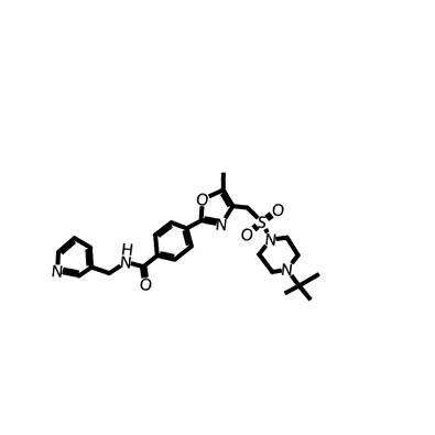 Cc1oc(-c2ccc(C(=O)NCc3cccnc3)cc2)nc1CS(=O)(=O)N1CCN(C(C)(C)C)CC1